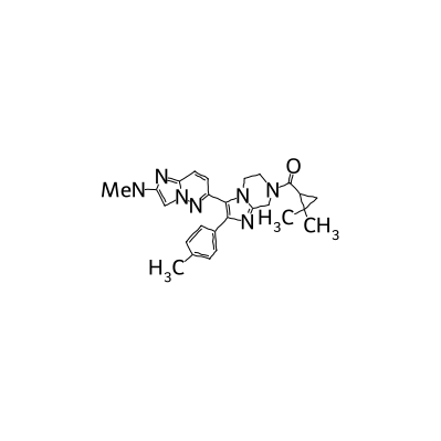 CNc1cn2nc(-c3c(-c4ccc(C)cc4)nc4n3CCN(C(=O)C3CC3(C)C)C4)ccc2n1